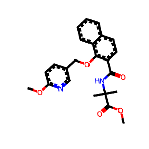 COC(=O)C(C)(C)NC(=O)c1ccc2ccccc2c1OCc1ccc(OC)nc1